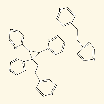 c1cc(CCc2ccncc2)ccn1.c1ccc(C2C(c3ccccn3)C2(CCc2ccncc2)c2ccncc2)nc1